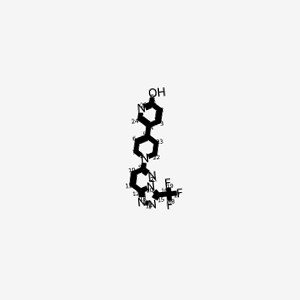 Oc1ccc(C2=CCN(c3ccc4nnc(C(F)(F)F)n4n3)CC2)cn1